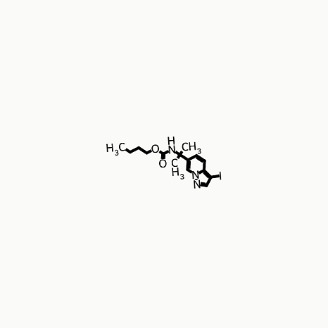 CCCCOC(=O)NC(C)(C)c1ccc2c(I)cnn2c1